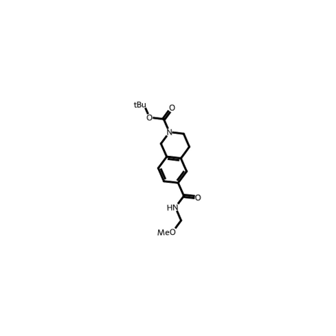 COCNC(=O)c1ccc2c(c1)CCN(C(=O)OC(C)(C)C)C2